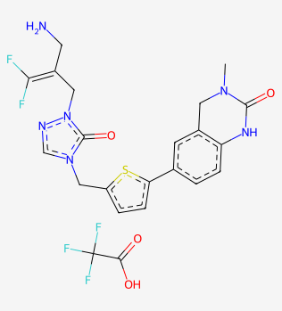 CN1Cc2cc(-c3ccc(Cn4cnn(CC(CN)=C(F)F)c4=O)s3)ccc2NC1=O.O=C(O)C(F)(F)F